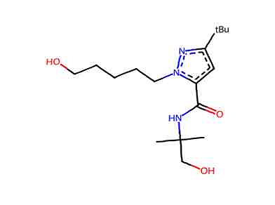 CC(C)(CO)NC(=O)c1cc(C(C)(C)C)nn1CCCCCO